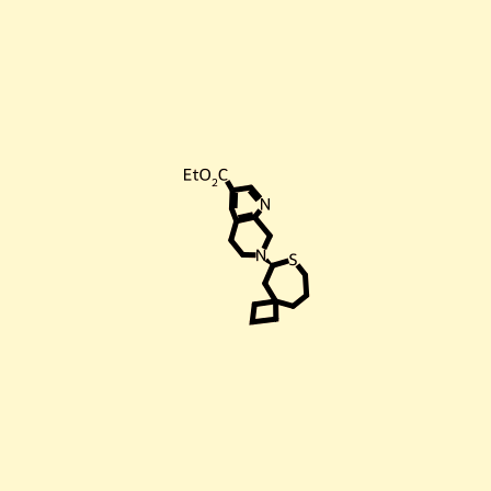 CCOC(=O)c1cnc2c(c1)CCN([C@@H]1CC3(CCCS1)CCC3)C2